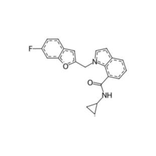 O=C(NC1[CH]C1)c1cccc2ccn(Cc3cc4ccc(F)cc4o3)c12